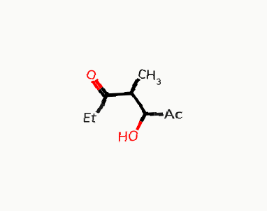 CCC(=O)C(C)C(O)C(C)=O